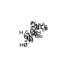 CC1=C(C(=O)NCCO)N[C@@H](C(NC(=O)c2nn(Cc3ccc(F)cc3)c3ccccc23)C(C)(C)C)C1